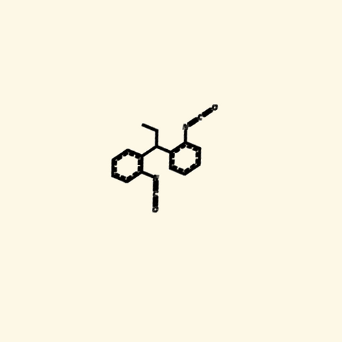 CCC(c1ccccc1N=C=O)c1ccccc1N=C=O